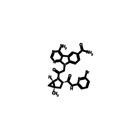 C[C@@]12C[C@@H](C(=O)Nc3cccc(Br)n3)N(C(=O)Cn3c4ccc(C(N)=O)cc4c4c(N)ncnc43)[C@@H]1C2